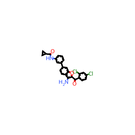 Nc1c(C(=O)c2ccc(Cl)cc2Cl)oc2cc(-c3cccc(NC(=O)C4CC4)c3)ccc12